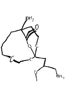 BCC(CC12CCCCCCCC(B)(CCC1)C(=O)O2)OI